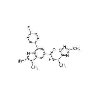 Cc1noc([C@@H](C)NC(=O)c2cc(-c3ccc(F)cc3)c3nc(C(C)C)n(C)c3c2)n1